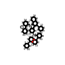 c1ccc(-c2ccc(N(c3ccc4c(c3)c3c(-c5ccccc5)cc5ccccc5c3n4-c3cccc4oc5ccccc5c34)c3ccccc3-c3ccccc3)cc2)cc1